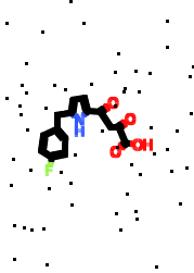 O=C(O)C(=O)CC(=O)c1ccc(Cc2ccc(F)cc2)[nH]1